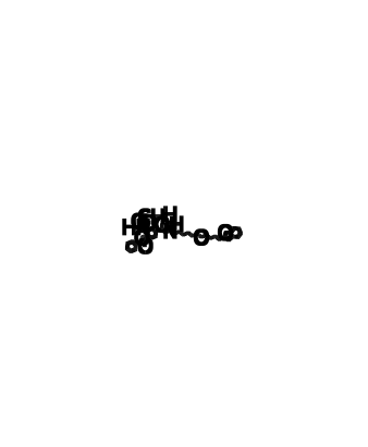 CS(=O)(=O)Nc1cc(C(O)CNCCCCCCOCCCCc2cc3ccccc3o2)ccc1OC(=O)c1ccccc1